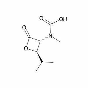 CC(C)[C@H]1OC(=O)[C@@H]1N(C)C(=O)O